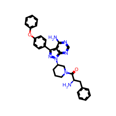 Nc1ncnc2c1c(-c1ccc(Oc3ccccc3)cc1)nn2[C@@H]1CCCN(C(=O)[C@H](N)Cc2ccccc2)C1